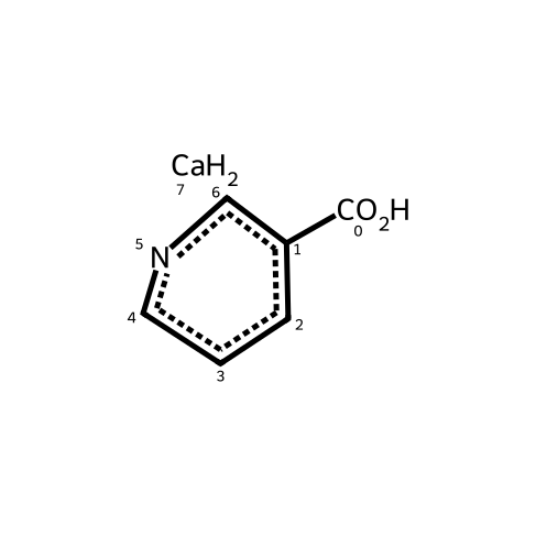 O=C(O)c1cccnc1.[CaH2]